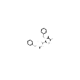 Cc1nnc(C(NC(=O)OCc2ccccc2)C(C)C)n(Cc2ccccc2)c1=O